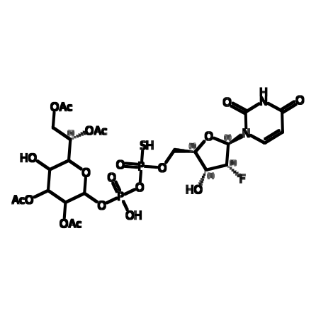 CC(=O)OC[C@H](OC(C)=O)C1OC(OP(=O)(O)OP(=O)(S)OC[C@H]2O[C@@H](n3ccc(=O)[nH]c3=O)[C@H](F)[C@@H]2O)C(OC(C)=O)C(OC(C)=O)C1O